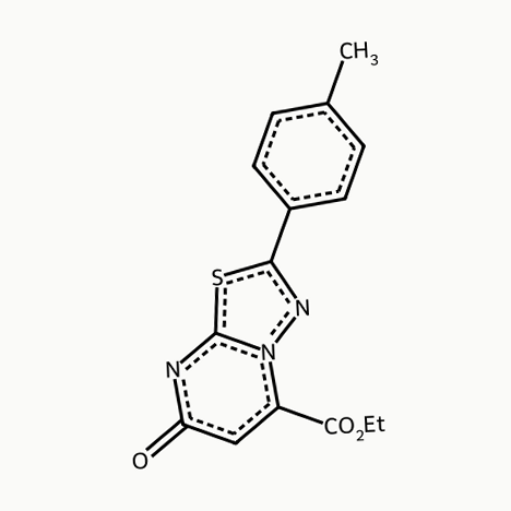 CCOC(=O)c1cc(=O)nc2sc(-c3ccc(C)cc3)nn12